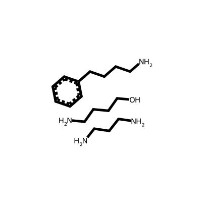 NCCCCO.NCCCCc1ccccc1.NCCCN